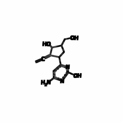 C=C=C1C(c2cc(N)nc(O)n2)CC(CO)C1O